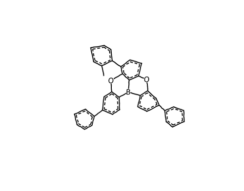 Cc1ccccc1-c1ccc2c3c1Oc1cc(-c4ccccc4)ccc1B3c1ccc(-c3ccccc3)cc1O2